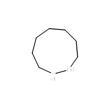 C1CCCPPCCC1